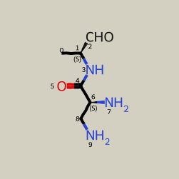 C[C@@H](C=O)NC(=O)[C@@H](N)CN